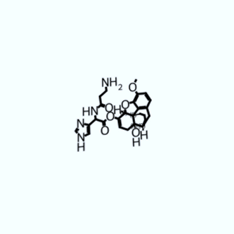 COc1ccc2c3c1O[C@H]1C(OC(=O)C(NC(=O)CCN)c4c[nH]cn4)=CC[C@@]4(O)[C@H](CCC[C@]314)C2